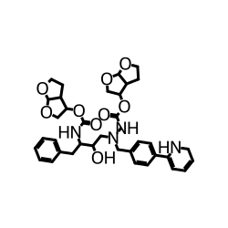 O=C(NC(Cc1ccccc1)C(O)CN(Cc1ccc(C2=CC=CCN2)cc1)NC(=O)OC1COC2OCCC12)OC1COC2OCCC12